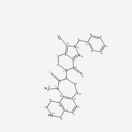 CN1C(=O)C(N2CCc3c(nn(Cc4ccccc4)c3Cl)C2=O)COc2ccc3c(c21)CCNC3